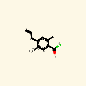 C=CCc1cc(C)c(C(=O)Cl)cc1C(F)(F)F